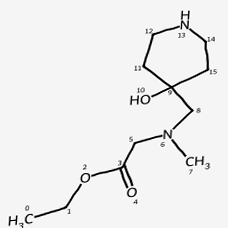 CCOC(=O)CN(C)CC1(O)CCNCC1